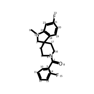 CN1CC2(CCN(C(=O)c3ccccc3F)CC2)c2ccc(F)cc21